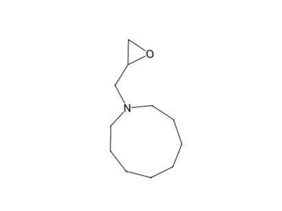 C1CCCCN(CC2CO2)CCC1